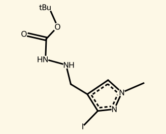 Cn1cc(CNNC(=O)OC(C)(C)C)c(I)n1